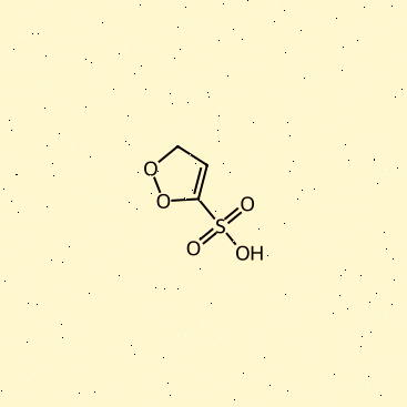 O=S(=O)(O)C1=CCOO1